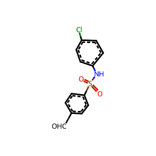 O=Cc1ccc(S(=O)(=O)Nc2ccc(Cl)cc2)cc1